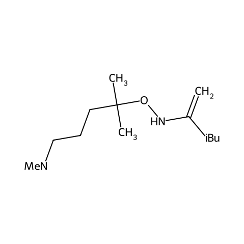 C=C(NOC(C)(C)CCCNC)C(C)CC